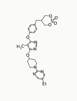 CCc1cnc(N2CCC(Oc3ncnc(Oc4ccc(CC5COS(=O)(=O)OC5)cc4)c3C)CC2)nc1